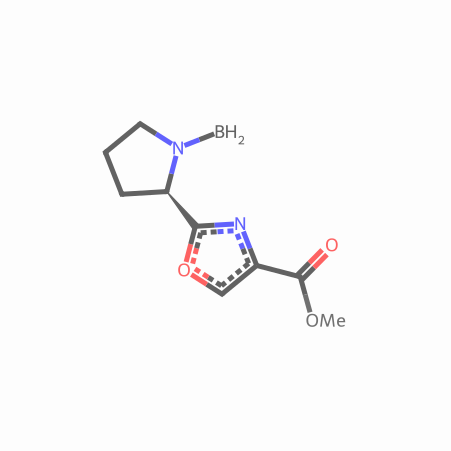 BN1CCC[C@@H]1c1nc(C(=O)OC)co1